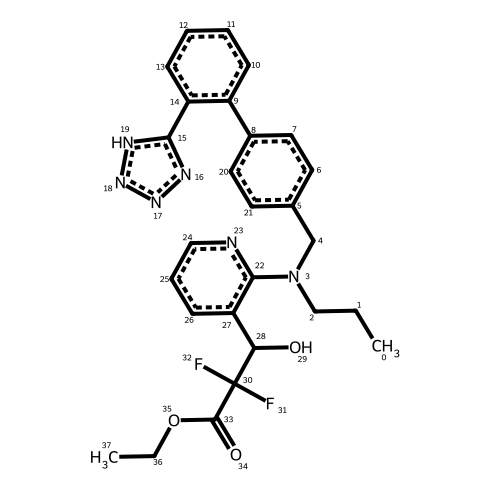 CCCN(Cc1ccc(-c2ccccc2-c2nnn[nH]2)cc1)c1ncccc1C(O)C(F)(F)C(=O)OCC